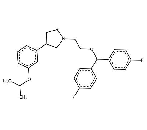 CC(C)Oc1cccc(C2CCN(CCOC(c3ccc(F)cc3)c3ccc(F)cc3)C2)c1